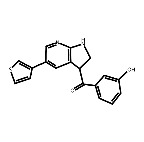 O=C(c1cccc(O)c1)C1CNc2ncc(-c3ccsc3)cc21